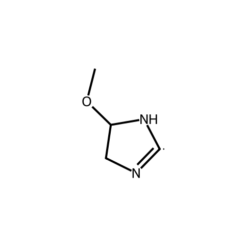 COC1CN=[C]N1